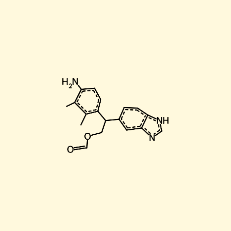 Cc1c(N)ccc(C(COC=O)c2ccc3[nH]cnc3c2)c1C